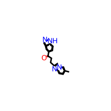 Cc1ccc2nc(CCC(=O)c3ccc4[nH]ncc4c3)cn2c1